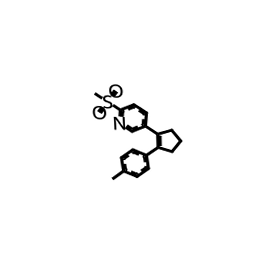 Cc1ccc(C2=C(c3ccc(S(C)(=O)=O)nc3)CCC2)cc1